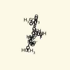 COc1nc2[nH]cc(F)c2cc1Oc1cc(N2CCC3(CC2)CC(N2CCN(C4CCOCC4)C[C@H]2c2ccccc2C(C)C)C3)ccc1C(=O)NS(=O)(=O)c1cnc(NCC2CCC(C)(O)CC2)c([N+](=O)[O-])c1